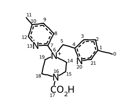 Cc1ccc(C[N+]2(c3ccc(C)cn3)CCN(C(=O)O)CC2)nc1